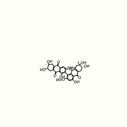 COc1cc2c(c(O)c1-c1c(OC)cc(O)c3c1C(=O)C1=C(C[C@@H](O)[C@@](C)(O)C1)C3=O)C(=O)C1=C(C[C@](C)(O)[C@H](O)C1)C2=O